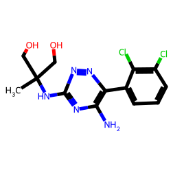 CC(CO)(CO)Nc1nnc(-c2cccc(Cl)c2Cl)c(N)n1